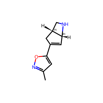 Cc1cc(C2=C[C@H]3NC[C@H]3C2)on1